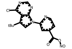 CC(C)(C)c1cn(-c2cc(C(=O)ON=O)ccn2)c2ncnc(Cl)c12